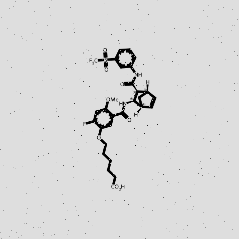 COc1cc(F)c(OCCCCCC(=O)O)cc1C(=O)N[C@H]1[C@@H](C(=O)Nc2cccc(S(=O)(=O)C(F)(F)F)c2)[C@@H]2C=C[C@H]1C2